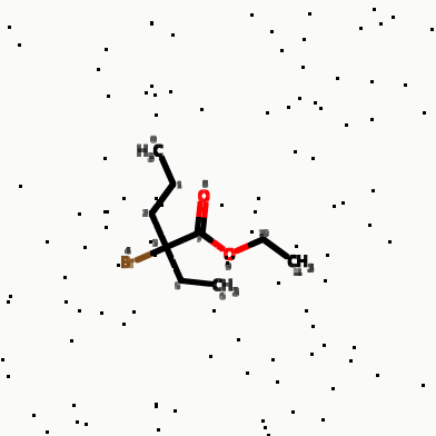 CCCC(Br)(CC)C(=O)OCC